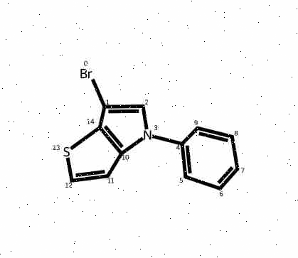 Brc1cn(-c2ccccc2)c2ccsc12